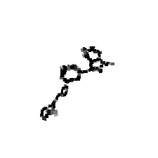 Cn1nc(-c2cccc(OC[C@H]3CO3)c2)c2sccc21